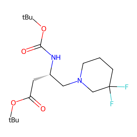 CC(C)(C)OC(=O)C[C@@H](CN1CCCC(F)(F)C1)NC(=O)OC(C)(C)C